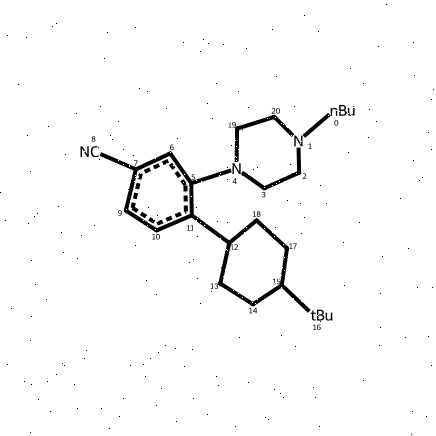 CCCCN1CCN(c2cc(C#N)ccc2C2CCC(C(C)(C)C)CC2)CC1